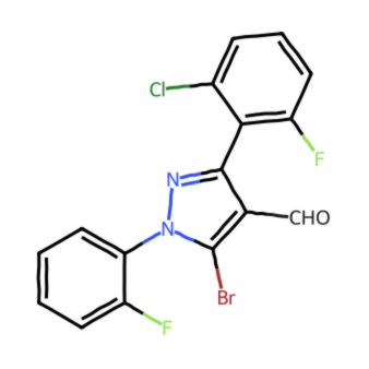 O=Cc1c(-c2c(F)cccc2Cl)nn(-c2ccccc2F)c1Br